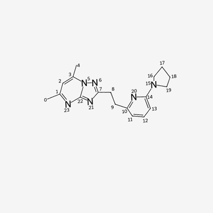 Cc1cc(C)n2nc(CCc3cccc(N4CCCC4)n3)nc2n1